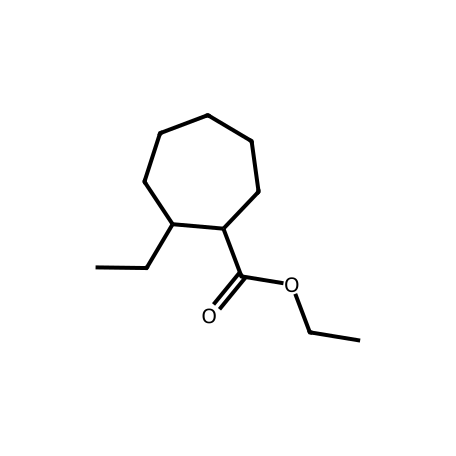 CCOC(=O)C1CCCCCC1CC